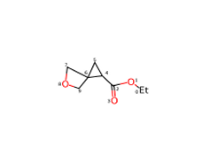 CCOC(=O)C1CC12COC2